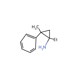 CCC1(N)CC1(C)c1ccccc1